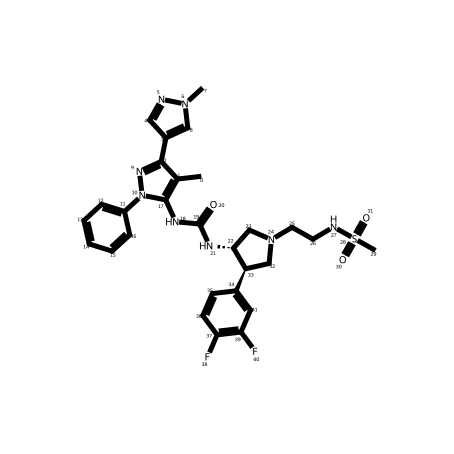 Cc1c(-c2cnn(C)c2)nn(-c2ccccc2)c1NC(=O)N[C@@H]1CN(CCNS(C)(=O)=O)C[C@H]1c1ccc(F)c(F)c1